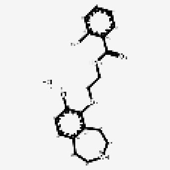 Cl.O=C(NCCOc1c(Cl)ccc2c1CCNCC2)c1ccccc1F